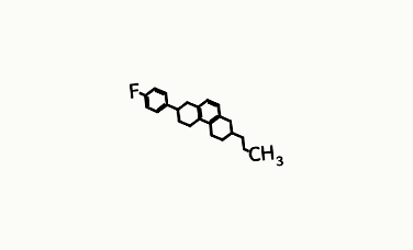 CCCC1CCc2c(ccc3c2CCC(c2ccc(F)cc2)C3)C1